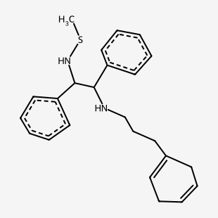 CSNC(c1ccccc1)C(NCCCC1=CCC=CC1)c1ccccc1